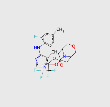 Cc1ccc(Nc2ncnc(OC3CC4COCC(C3)N4C(=O)OC3CC(F)(F)C3(F)F)c2C)c(F)c1